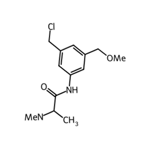 CNC(C)C(=O)Nc1cc(CCl)cc(COC)c1